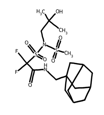 CC(C)(O)CN(S(C)(=O)=O)S(=O)(=O)C(F)(F)C(=O)NCC12CC3CC(CC(C3)C1)C2